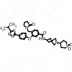 CC(C)c1nnc(-c2ccc(Oc3cc(C(=O)NC4CC5(C4)CN(C4CCS(=O)(=O)CC4)C5)ccc3CN3CCCC3=O)cc2)s1